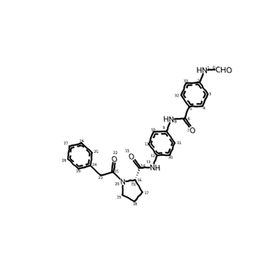 O=CNc1ccc(C(=O)Nc2ccc(NC(=O)[C@@H]3CCCN3C(=O)Cc3ccccc3)cc2)cc1